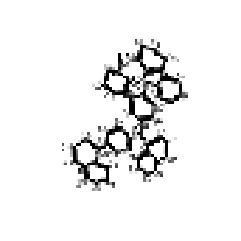 c1ccc([Si]2(c3ccc(N(c4ccc(-c5cccc6ccccc56)cc4)c4cccc5ccccc45)cc3)c3ccccc3Oc3ccccc32)cc1